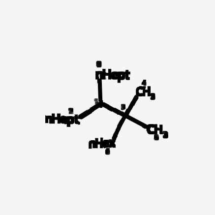 CCCCCCC[C](CCCCCCC)C(C)(C)CCCCCC